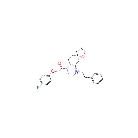 CN(CCc1ccccc1)[C@@H]1C[C@@]2(CCCO2)CC[C@H]1N(C)C(=O)COc1ccc(F)cc1